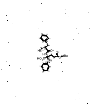 CC(C)(C)OC(=O)CC[C@@](NC(=O)[C@@H](CS)Cc1ccccc1)(Nc1ccccc1)C(=O)O